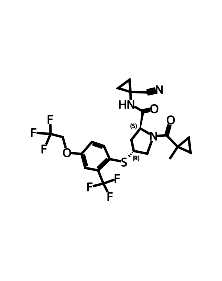 CC1(C(=O)N2C[C@H](Sc3ccc(OCC(F)(F)F)cc3C(F)(F)F)C[C@H]2C(=O)NC2(C#N)CC2)CC1